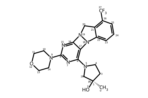 C[C@@]1(O)CCN(c2nc(N3CCOCC3)nc3c2n2n3Cc3c-2cccc3C(F)(F)F)C1